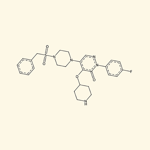 O=c1c(OC2CCNCC2)c(N2CCN(S(=O)(=O)Cc3ccccc3)CC2)cnn1-c1ccc(F)cc1